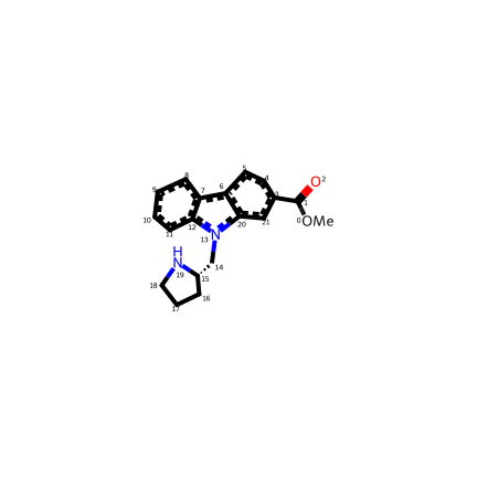 COC(=O)c1ccc2c3ccccc3n(C[C@@H]3CCCN3)c2c1